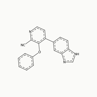 N#Cc1nccc(-c2ccc3[nH]cnc3c2)c1Oc1ccccc1